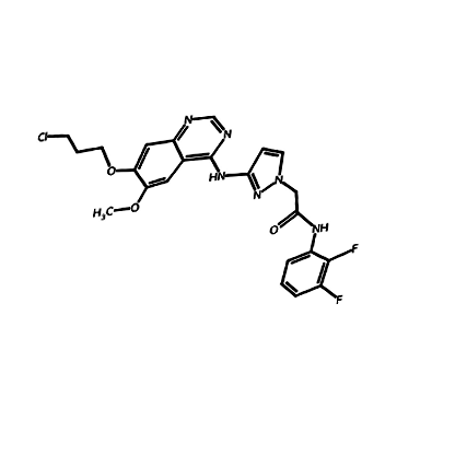 COc1cc2c(Nc3ccn(CC(=O)Nc4cccc(F)c4F)n3)ncnc2cc1OCCCCl